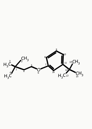 CC(C)(C)CCOc1cccc(C(C)(C)C)c1